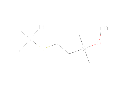 CCCO[Si](C)(C)CCS[Si](CC)(CC)CC